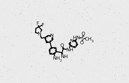 CS(=O)(=O)Nc1ccc(NC(=O)C(=N)c2cc(-c3cncc(CN4CCC(F)(F)C4)c3)ccc2N)cn1